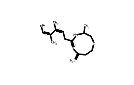 C=C1CCOCC(C)N/C(C/C=C(C)\C(C)=C/CCC)=N\1